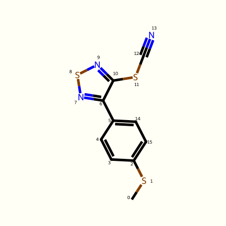 CSc1ccc(-c2nsnc2SC#N)cc1